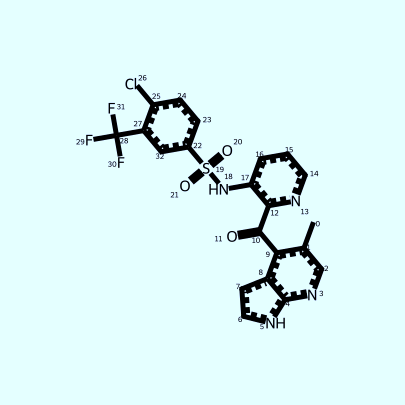 Cc1cnc2[nH]ccc2c1C(=O)c1ncccc1NS(=O)(=O)c1ccc(Cl)c(C(F)(F)F)c1